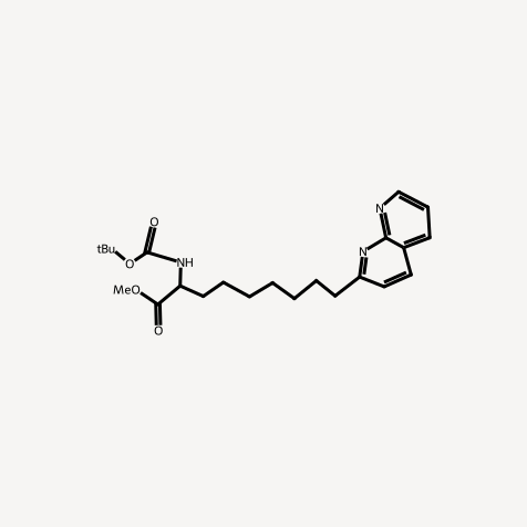 COC(=O)C(CCCCCCCc1ccc2cccnc2n1)NC(=O)OC(C)(C)C